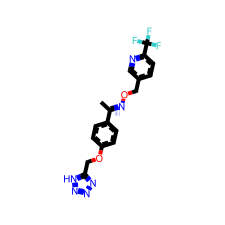 C/C(=N\OCc1ccc(C(F)(F)F)nc1)c1ccc(OCc2nnn[nH]2)cc1